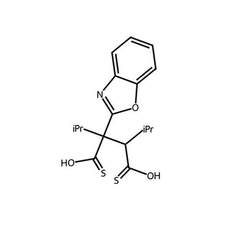 CC(C)C(C(O)=S)C(C(O)=S)(c1nc2ccccc2o1)C(C)C